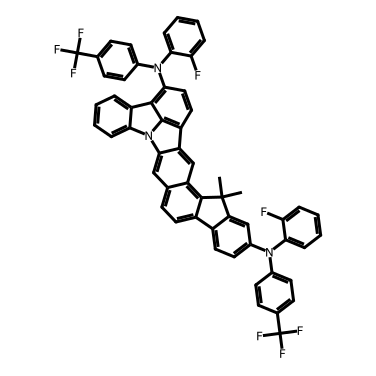 CC1(C)c2cc(N(c3ccc(C(F)(F)F)cc3)c3ccccc3F)ccc2-c2ccc3cc4c(cc3c21)c1ccc(N(c2ccc(C(F)(F)F)cc2)c2ccccc2F)c2c3ccccc3n4c12